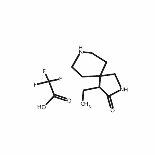 CCC1C(=O)NCC12CCNCC2.O=C(O)C(F)(F)F